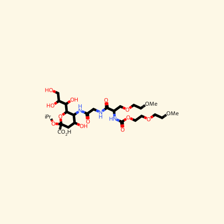 COCCOCCOC(=O)NC(COCCOC)C(=O)NCC(=O)NC1C(O)CC(OC(C)C)(C(=O)O)OC1C(O)C(O)CO